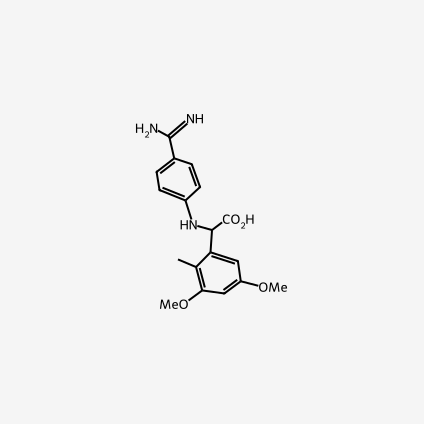 COc1cc(OC)c(C)c(C(Nc2ccc(C(=N)N)cc2)C(=O)O)c1